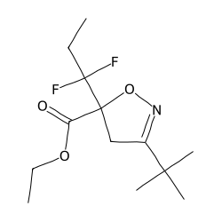 CCOC(=O)C1(C(F)(F)CC)CC(C(C)(C)C)=NO1